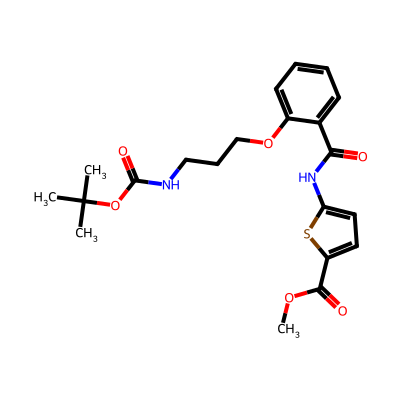 COC(=O)c1ccc(NC(=O)c2ccccc2OCCCNC(=O)OC(C)(C)C)s1